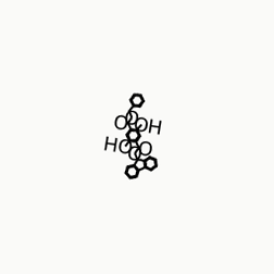 O=C(OCc1ccccc1)c1cc(O)c(C(=O)OC2c3ccccc3-c3ccccc32)cc1O